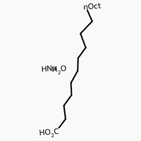 CCCCCCCCCCCCCCCCCC(=O)O.O.[NaH]